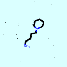 NCCCCN1CCCCC1